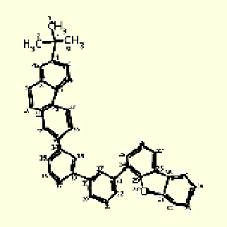 CC(C)(C)c1ccc2c(ccc3cc(-c4cccc(-c5cccc(-c6cccc7c6oc6ccccc67)c5)c4)ccc32)c1